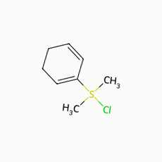 CS(C)(Cl)C1=CCCC=C1